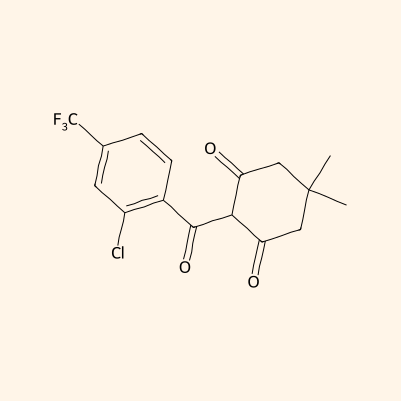 CC1(C)CC(=O)C(C(=O)c2ccc(C(F)(F)F)cc2Cl)C(=O)C1